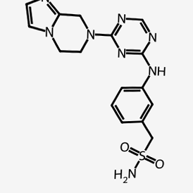 NS(=O)(=O)Cc1cccc(Nc2ncnc(N3CCn4ccnc4C3)n2)c1